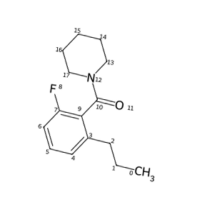 CCCc1cccc(F)c1C(=O)N1CCCCC1